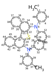 Cc1cccc(N(c2ccccc2)c2cc3ccccc3c3c2sc2c(N(c4ccccc4)c4cccc(C)c4)cc4ccccc4c23)c1